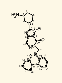 CCn1c(N2CCCC(N)C2)nc2cnn(Cc3nc4ccccc4c4ccccc34)c(=O)c21